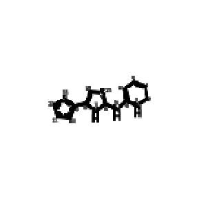 C1=CCNC(NC2NC(c3cccs3)=CS2)=C1